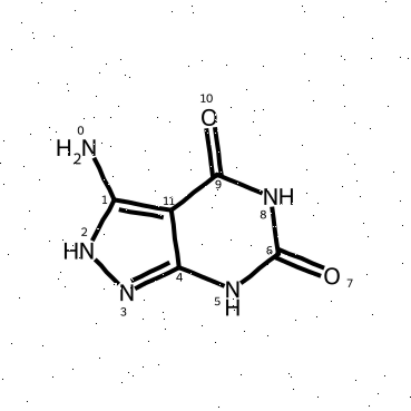 Nc1[nH]nc2[nH]c(=O)[nH]c(=O)c12